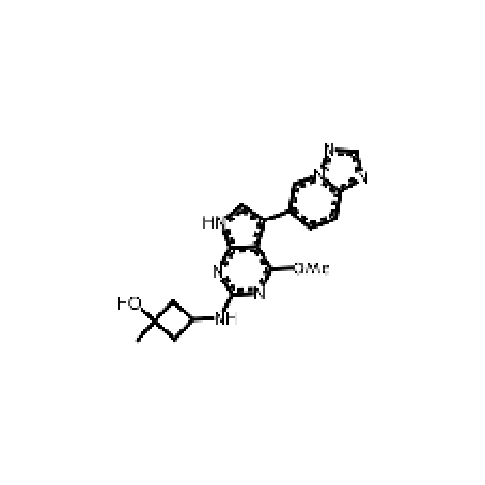 COc1nc(NC2CC(C)(O)C2)nc2[nH]cc(-c3ccc4ncnn4c3)c12